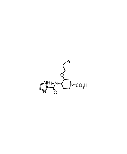 CC(C)CCOC1CN(C(=O)O)CCC1NC(=O)c1ncc[nH]1